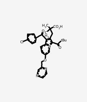 CC(C)(C)C(=O)c1c(CC(C)(C)C(=O)O)c(C(=O)c2ccc(Cl)cc2)c2ccc(OCc3cnccn3)cn12